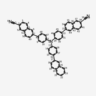 N#Cc1ccc2cc(-c3ccc(N(c4ccc(-c5ccc6ccccc6c5)cc4)c4ccc(-c5ccc6cc(C#N)ccc6c5)cc4)cc3)ccc2c1